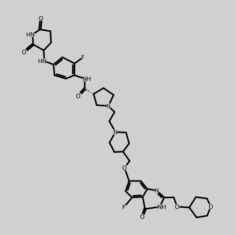 O=C1CCC(Nc2ccc(NC(=O)[C@@H]3CCN(CCN4CCC(COc5cc(F)c6c(=O)[nH]c(COC7CCOCC7)nc6c5)CC4)C3)c(F)c2)C(=O)N1